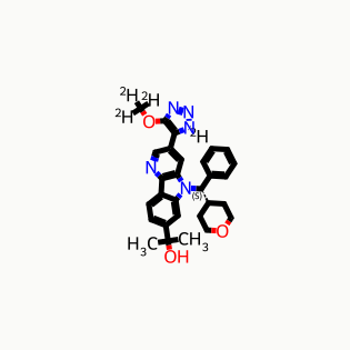 [2H]n1nnc(OC([2H])([2H])[2H])c1-c1cnc2c3ccc(C(C)(C)O)cc3n([C@H](c3ccccc3)C3CCOCC3)c2c1